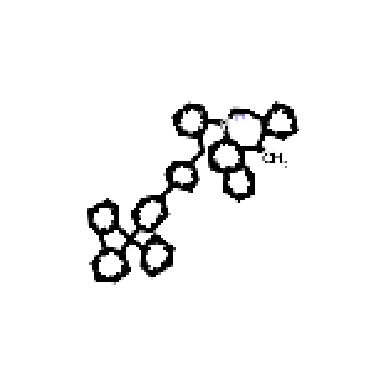 C=C1c2ccccc2/C=C\N(c2ccccc2Cc2ccc(-c3ccc(C4(c5ccccc5)c5ccccc5-c5ccccc54)cc3)cc2)c2ccc3ccccc3c21